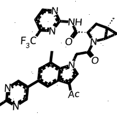 CC(=O)c1cn(CC(=O)N2C3C[C@]3(C)C[C@H]2C(=O)Nc2nccc(C(F)(F)F)n2)c2c(C)cc(-c3cnc(C)nc3)cc12